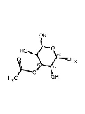 CC(=O)O[C@H]1C(O)C(O)O[C@@H](C)[C@H]1O